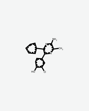 Cc1nc(-c2ccc(O)c(Cl)c2)c(-c2ccccc2)nc1N